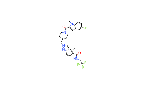 Cc1c(C(=O)NCC(F)(F)F)ccc2nn(CC3CCN(C(=O)c4cc5cc(F)ccc5n4C)CC3)cc12